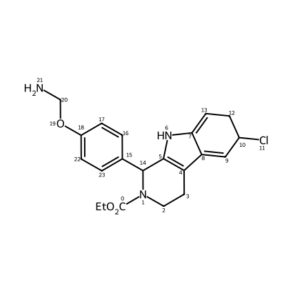 CCOC(=O)N1CCc2c([nH]c3c2=CC(Cl)CC=3)C1c1ccc(OCN)cc1